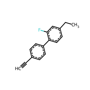 C#Cc1ccc(-c2ccc(CC)cc2F)cc1